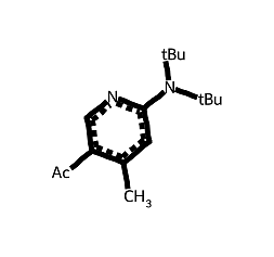 CC(=O)c1cnc(N(C(C)(C)C)C(C)(C)C)cc1C